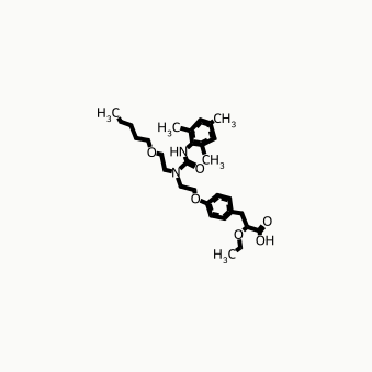 CCCCCOCCN(CCOc1ccc(CC(OCC)C(=O)O)cc1)C(=O)Nc1c(C)cc(C)cc1C